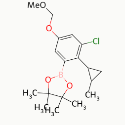 COCOc1cc(Cl)c(C2CC2C)c(B2OC(C)(C)C(C)(C)O2)c1